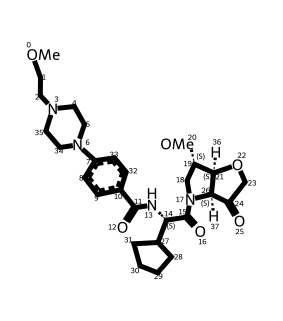 COCCN1CCN(c2ccc(C(=O)N[C@H](C(=O)N3C[C@H](OC)[C@H]4OCC(=O)[C@H]43)C3CCCC3)cc2)CC1